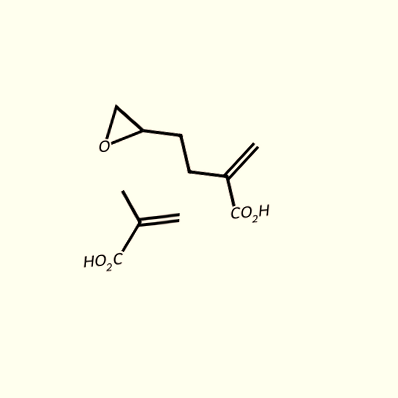 C=C(C)C(=O)O.C=C(CCC1CO1)C(=O)O